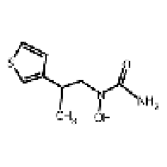 CC(CN(O)C(N)=O)c1ccsc1